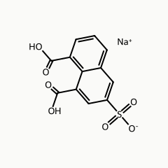 O=C(O)c1cccc2cc(S(=O)(=O)[O-])cc(C(=O)O)c12.[Na+]